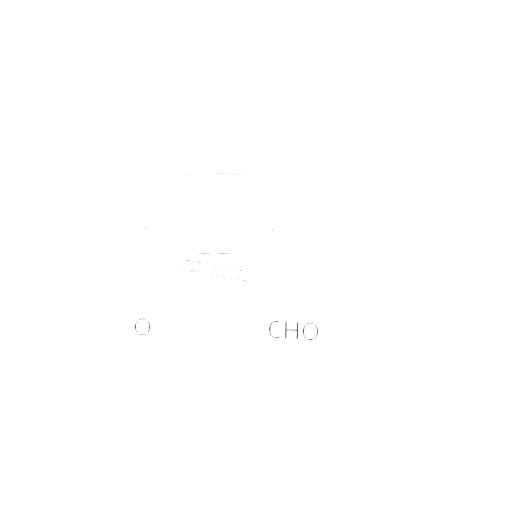 O=CC1C(=O)C2C=CC1CC2